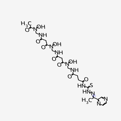 CC(=O)N(O)CNC(=O)CC(=O)N(O)CNC(=O)CC(=O)N(O)CNC(=O)CCC(=O)NC(=S)N/N=C(\C)c1cnccn1